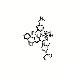 C=CC(=O)N1CCN(C2=NS(O)(O)N(c3ccc(CN(C)C)cc3C(C)C)c3nc(-c4ccccc4F)c(Cl)cc32)C(C)C1